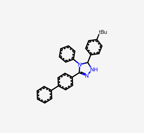 CC(C)(C)c1ccc(C2NN=C(c3ccc(-c4ccccc4)cc3)N2c2ccccc2)cc1